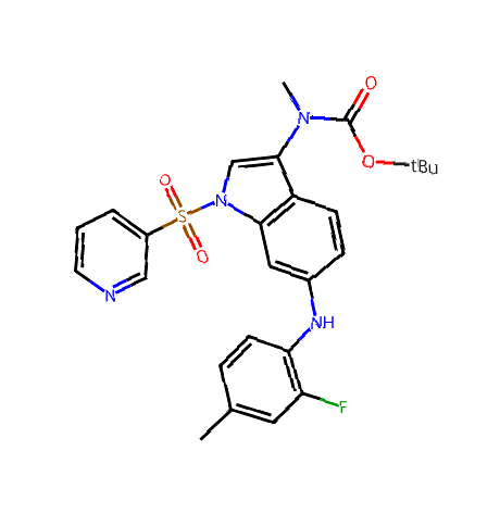 Cc1ccc(Nc2ccc3c(N(C)C(=O)OC(C)(C)C)cn(S(=O)(=O)c4cccnc4)c3c2)c(F)c1